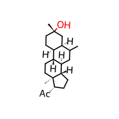 CC(=O)[C@H]1CC[C@H]2[C@@H]3CC(C)[C@@H]4C[C@@](C)(O)CC[C@@H]4[C@H]3CC[C@]12C